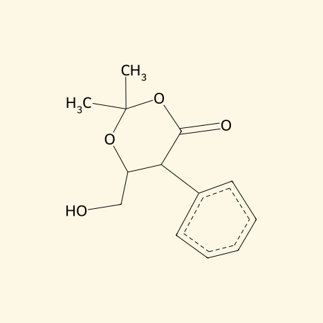 CC1(C)OC(=O)C(c2ccccc2)C(CO)O1